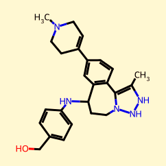 CC1=C2c3ccc(C4=CCN(C)CC4)cc3C(Nc3ccc(CO)cc3)CCN2NN1